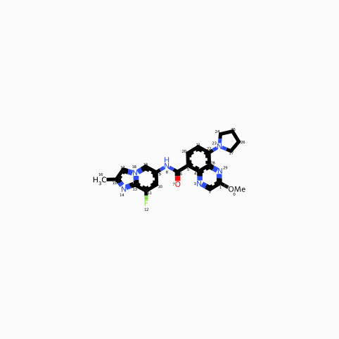 COc1cnc2c(C(=O)Nc3cc(F)c4nc(C)cn4c3)ccc(N3CCCC3)c2n1